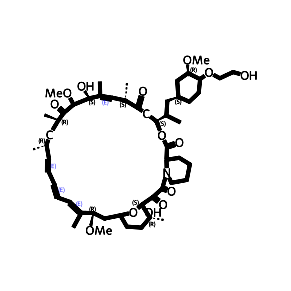 COC1C(=O)[C@H](C)C[C@@H](C)/C=C/C=C/C=C(\C)[C@H](OC)CC2CC[C@@H](C)[C@](O)(O2)C(=O)C(=O)N2CCCCC2C(=O)O[C@H](C(C)C[C@@H]2CCC(OCCO)[C@H](OC)C2)CC(=O)[C@@H](C)/C=C(\C)[C@@H]1O